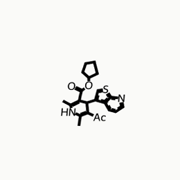 CC(=O)C1=C(C)NC(C)=C(C(=O)OC2CCCC2)C1c1csc2ncccc12